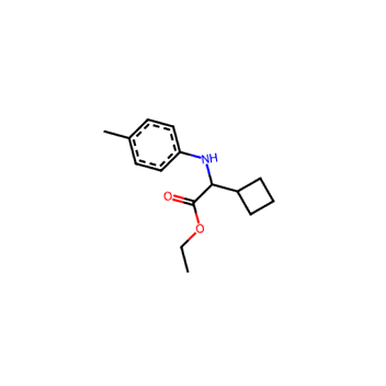 CCOC(=O)C(Nc1ccc(C)cc1)C1CCC1